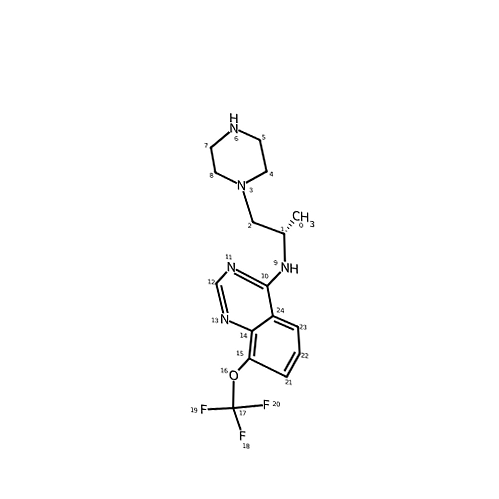 C[C@@H](CN1CCNCC1)Nc1ncnc2c(OC(F)(F)F)cccc12